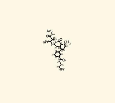 CCCC(CC1CC(=O)c2c(C)ccc(-c3cccc(C(=O)CCCC(C)C)c3)c2C1)C(CC)C(=O)CC(C)=O